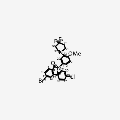 COc1ccc(NC(=O)c2ccc(Br)cc2-c2ccc(Cl)cc2)cc1N1CCC(F)(F)CC1